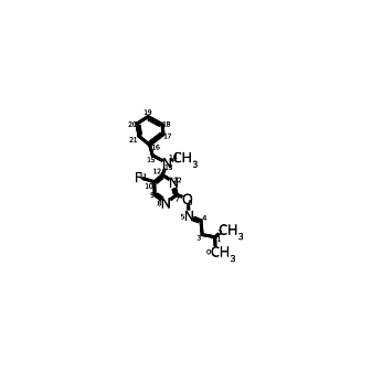 CC(C)C/C=N/Oc1ncc(F)c(N(C)Cc2ccccc2)n1